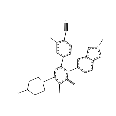 Cc1c(N2CCC(N)CC2)nc(-c2ccc(C#N)c(F)c2)n(-c2ccc3nn(C)cc3c2)c1=O